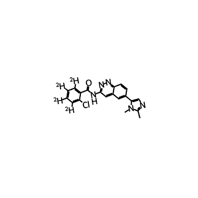 [2H]c1c([2H])c([2H])c(C(=O)Nc2cc3cc(-c4cnc(C)n4C)ccc3nn2)c(Cl)c1[2H]